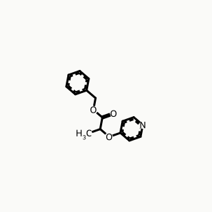 CC(Oc1ccncc1)C(=O)OCc1ccccc1